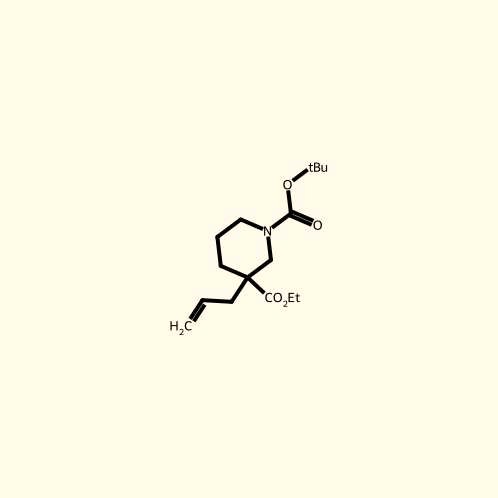 C=CCC1(C(=O)OCC)CCCN(C(=O)OC(C)(C)C)C1